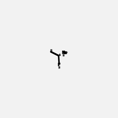 CCF.[Na]